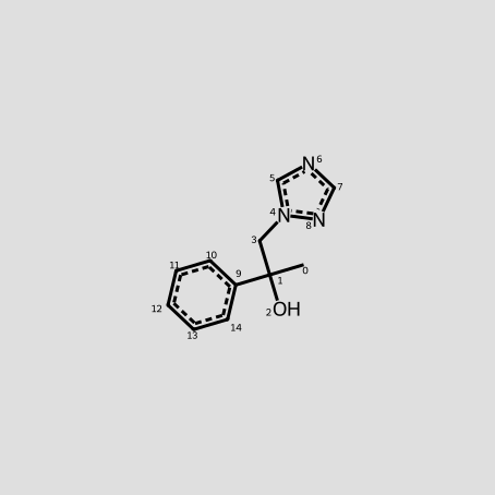 CC(O)(Cn1cncn1)c1ccccc1